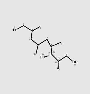 CC(C)CC(C)CC(C)CC(C)[C@@H](O)[C@@H](C)CO